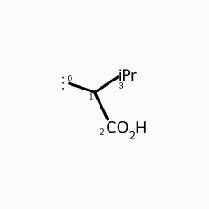 [C]C(C(=O)O)C(C)C